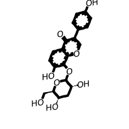 O=c1c(-c2ccc(O)cc2)coc2c(OC3O[C@H](CO)[C@@H](O)C[C@H]3O)c(O)ccc12